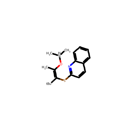 CC(O[SiH](C)C)=C(Sc1ccc2ccccc2n1)C(C)(C)C